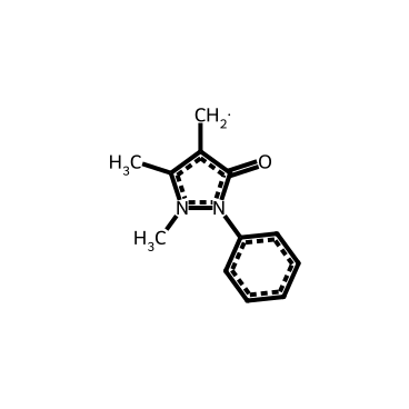 [CH2]c1c(C)n(C)n(-c2ccccc2)c1=O